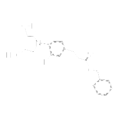 CCCN(CCC)c1ccc(CCC(=O)OCc2ccccc2)cc1F